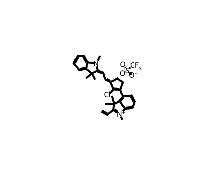 C=CC1=[N+](C)c2cccc(C3=C(Cl)C(=CC=C4N(C)c5ccccc5C4(C)C)CC3)c2C1(C)C.O=S(=O)([O-])C(F)(F)F